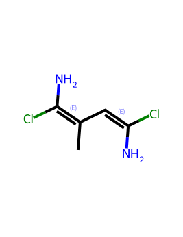 CC(/C=C(\N)Cl)=C(/N)Cl